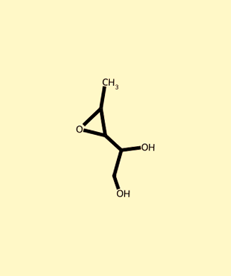 CC1OC1C(O)CO